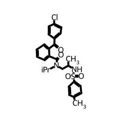 Cc1ccc(S(=O)(=O)NC(C)CN(C(=O)c2ccccc2C(=O)c2ccc(Cl)cc2)C(C)C)cc1